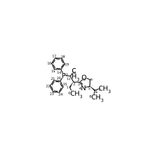 CC[C@H](C1=N[C@H](C(C)C)CO1)C(C)P(c1ccccc1)c1ccccc1